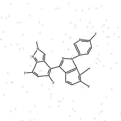 Cc1c(F)ccc2c(-c3c(F)cc(F)c4nn(C)cc34)nn(-c3ccc(F)nc3)c12